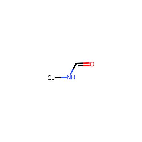 O=C[NH][Cu]